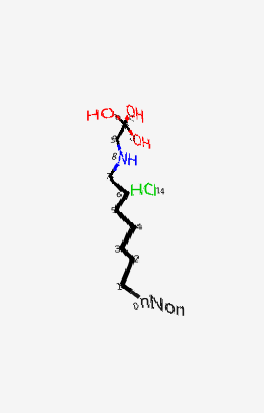 CCCCCCCCCCCCCCCCNCC(O)(O)O.Cl